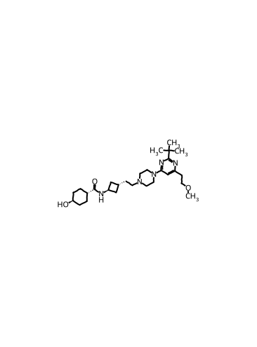 COCCc1cc(N2CCN(CC[C@H]3C[C@H](NC(=O)[C@H]4CC[C@H](O)CC4)C3)CC2)nc(C(C)(C)C)n1